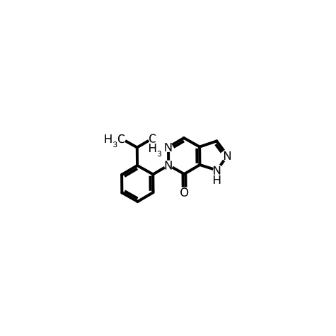 CC(C)c1ccccc1-n1ncc2cn[nH]c2c1=O